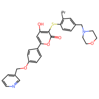 CC(C)c1cc(CN2CCOCC2)ccc1Sc1c(O)cc(-c2ccc(OCc3cccnc3)cc2)oc1=O